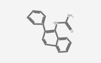 NC(=O)Nc1c(-c2ccccc2)ccc2ccccc12